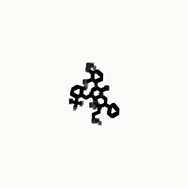 CCCN(N)C(Cn1c(=O)c(-c2cccc(OC)c2Cl)cn(Cc2c(F)cccc2C(F)(F)F)c1=O)c1ccccc1